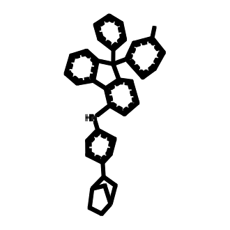 Cc1cccc(C2(c3ccccc3)c3ccccc3-c3c(Nc4ccc(C5CC6CCC5C6)cc4)cccc32)c1